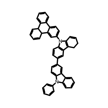 C1=CC2c3ccccc3-c3ccc(-n4c5c(c6cc(-c7ccc8c(c7)c7ccccc7n8-c7ccccc7)ccc64)CCC=C5)cc3C2C=C1